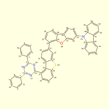 c1ccc(-c2nc(-c3ccccc3)nc(-c3cccc4sc5cc(-c6cccc7c6oc6cc(-n8c9ccccc9c9ccccc98)ccc67)ccc5c34)n2)cc1